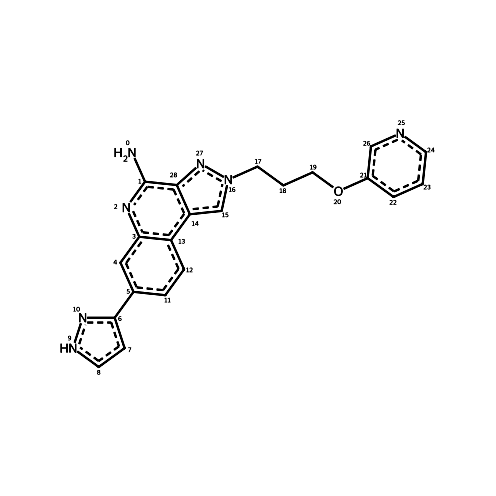 Nc1nc2cc(-c3cc[nH]n3)ccc2c2cn(CCCOc3cccnc3)nc12